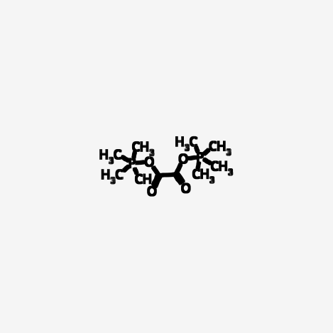 CP(C)(C)(C)OC(=O)C(=O)OP(C)(C)(C)C